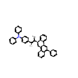 [2H]/C(=C(/[2H])c1cc2c3ccccc3c(-c3ccccc3)cc2c2ccccc12)c1ccc(N(c2ccccc2)c2ccccc2)cc1